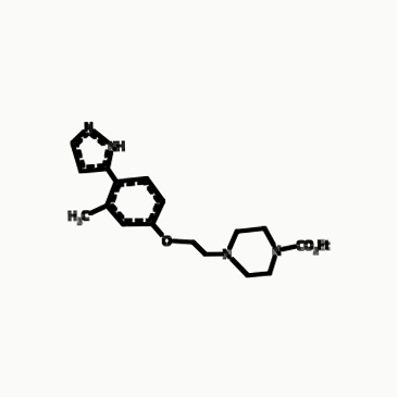 CCOC(=O)N1CCN(CCOc2ccc(-c3ccn[nH]3)c(C)c2)CC1